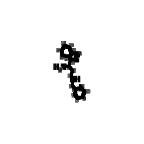 NC(CCNCc1ccccn1)c1nsc2ccccc12